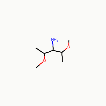 COC(C)C(N)C(C)OC